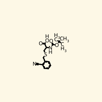 CC(C)(C)OC(=O)NC(CSCc1ccccc1C#N)C(=O)O